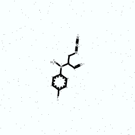 [N-]=[N+]=NCC(C=O)N(N)c1ccc(F)cc1